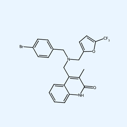 Cc1c(CN(Cc2ccc(Br)cc2)Cc2ccc(C(F)(F)F)o2)c2ccccc2[nH]c1=O